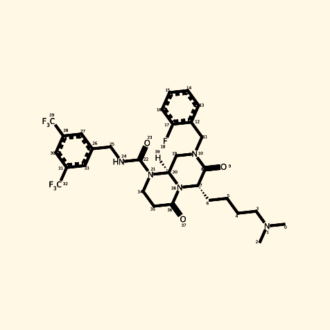 CN(C)CCCC[C@H]1C(=O)N(Cc2ccccc2F)C[C@@H]2N(C(=O)NCc3cc(C(F)(F)F)cc(C(F)(F)F)c3)CCC(=O)N21